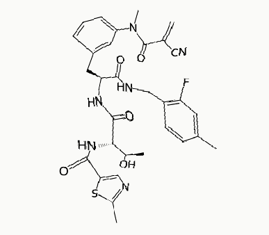 C=C(C#N)C(=O)N(C)c1cccc(C[C@H](NC(=O)[C@@H](NC(=O)c2cnc(C)s2)[C@@H](C)O)C(=O)NCc2ccc(C)cc2F)c1